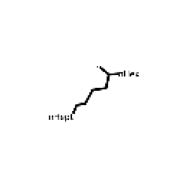 [CH2]C(CCCCCC)CCCCCCCCCCC